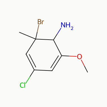 COC1=CC(Cl)=CC(C)(Br)C1N